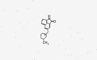 CC1CCCN(Cc2cc3c4c(cccc4c2)NC3=O)C1